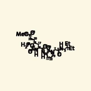 CCC(CC)CNC(=O)Cn1cccc(NC(=O)C(CC/C=C/C(=O)OC)NC(=O)OP)c1=O